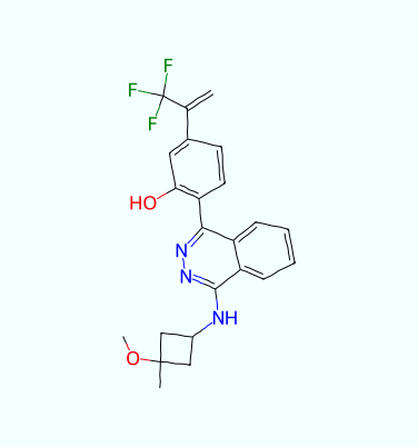 C=C(c1ccc(-c2nnc(NC3CC(C)(OC)C3)c3ccccc23)c(O)c1)C(F)(F)F